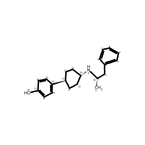 C[C@@H](Cc1ccccc1)N[C@H]1CC[C@H](c2ccc(O)cc2)CC1